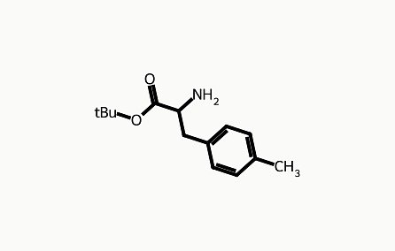 Cc1ccc(CC(N)C(=O)OC(C)(C)C)cc1